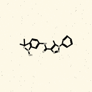 Cc1c(C(=O)Nc2ccc3c(c2)B(O)OC3(C)C)nnn1-c1ccccc1